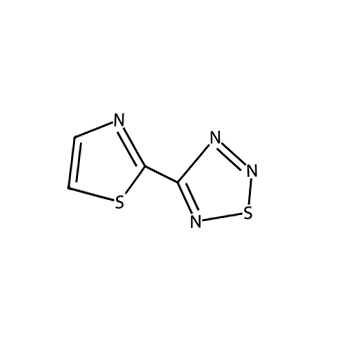 c1csc(-c2nnsn2)n1